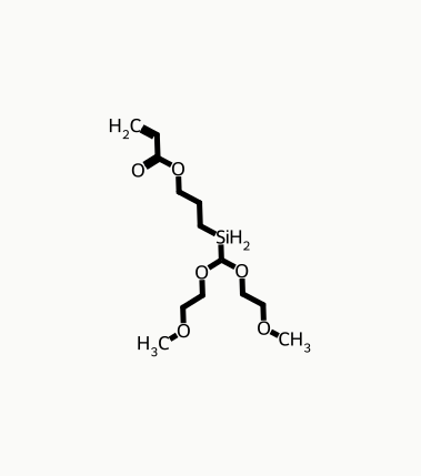 C=CC(=O)OCCC[SiH2]C(OCCOC)OCCOC